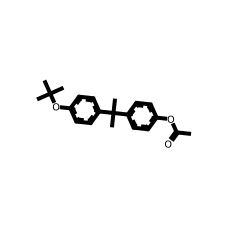 CC(=O)Oc1ccc(C(C)(C)c2ccc(OC(C)(C)C)cc2)cc1